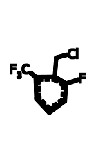 Fc1cccc(C(F)(F)F)c1CCl